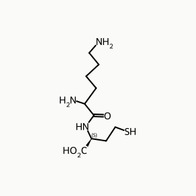 NCCCCC(N)C(=O)N[C@@H](CCS)C(=O)O